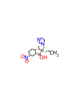 C=CC[C@@]1(Cn2ccnc2)Sc2ccc([N+](=O)[O-])cc2[C@@H]1O